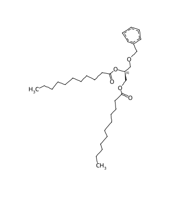 CCCCCCCCCCC(=O)OC[C@H](COCc1ccccc1)OC(=O)CCCCCCCCCC